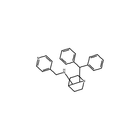 c1ccc(C(c2ccccc2)C2C(NCc3ccncc3)C3CCN2CC3)cc1